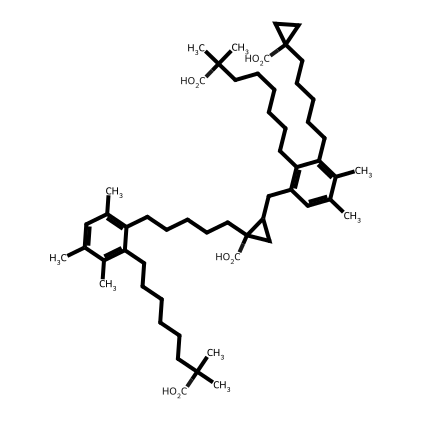 Cc1cc(C)c(CCCCCC2(C(=O)O)CC2Cc2cc(C)c(C)c(CCCCCC3(C(=O)O)CC3)c2CCCCCCC(C)(C)C(=O)O)c(CCCCCCC(C)(C)C(=O)O)c1C